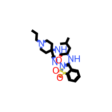 CCCN1CCC(C#N)(NC(=O)C(CC(C)C)NC2=NS(=O)(=O)c3ccccc32)CC1